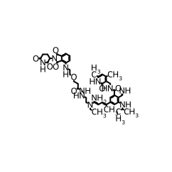 CCN(CCNNC(=O)CCOCCNc1cccc2c1C(=O)N(C1CCC(=O)NC1=O)C2=O)/C(N)=C/C=C(\C)c1cc(NC(C)C)c(C=N)c(C(=O)NCc2c(C)cc(C)[nH]c2=O)c1